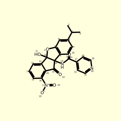 CC(C)c1ccc2c(c1)OC1(O)c3cccc([N+](=O)[O-])c3C(=O)C21NC(=O)c1ccncc1